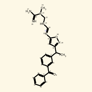 CC(c1cccc(C(=O)c2ccccc2)c1)c1cc(/N=C/NCN(C)C(=N)N)on1